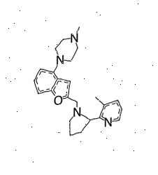 Cc1cccnc1C1CCCN1Cc1cc2c(N3CCN(C)CC3)cccc2o1